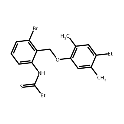 CCC(=S)Nc1cccc(Br)c1COc1cc(C)c(CC)cc1C